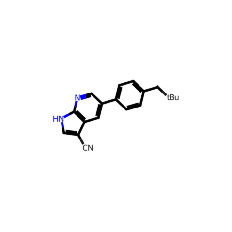 CC(C)(C)[CH]c1ccc(-c2cnc3[nH]cc(C#N)c3c2)cc1